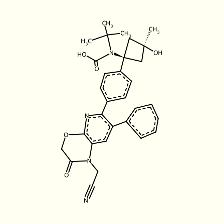 CC(C)(C)N(C(=O)O)[C@]1(c2ccc(-c3nc4c(cc3-c3ccccc3)N(CC#N)C(=O)CO4)cc2)C[C@](C)(O)C1